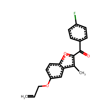 C=CCOc1ccc2oc(C(=O)c3ccc(F)cc3)c(C)c2c1